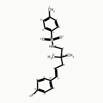 Cc1ccc(S(=O)(=O)NCC(C)(C)CC=Cc2ccc(F)cc2)cc1